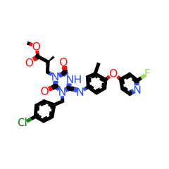 COC(=O)[C@@H](C)Cn1c(=O)[nH]/c(=N\c2ccc(Oc3ccnc(F)c3)c(C)c2)n(Cc2ccc(Cl)cc2)c1=O